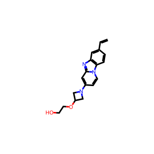 C=Cc1ccc2c(c1)nc1cc(N3CC(OCCO)C3)ccn12